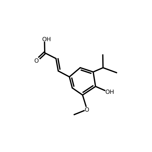 COc1cc(C=CC(=O)O)cc(C(C)C)c1O